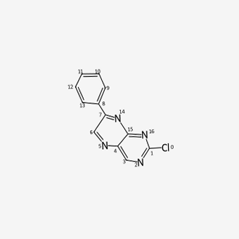 Clc1ncc2ncc(-c3ccccc3)nc2n1